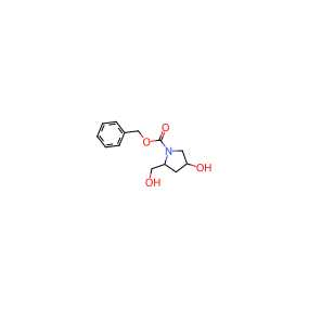 O=C(OCc1ccccc1)N1CC(O)CC1CO